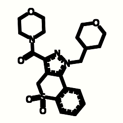 O=C(c1nn(CC2CCOCC2)c2c1CS(=O)(=O)c1ccccc1-2)N1CCOCC1